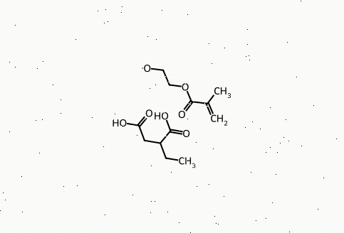 C=C(C)C(=O)OCC[O].CCC(CC(=O)O)C(=O)O